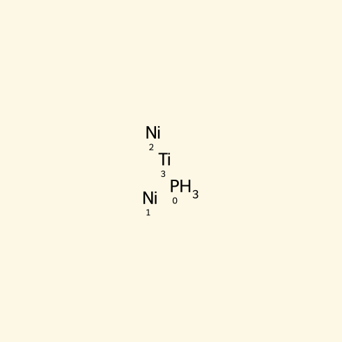 P.[Ni].[Ni].[Ti]